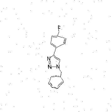 Fc1ccc(-c2cn(Cc3ccccc3)nn2)cc1